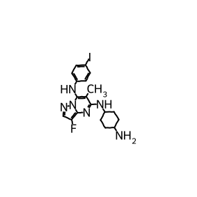 Cc1c(NC2CCC(N)CC2)nc2c(F)cnn2c1Nc1ccc(I)cc1